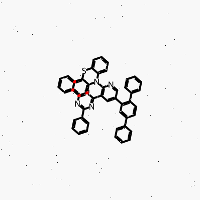 c1ccc(-c2ccc(-c3ccccc3)c(-c3cnc(N4c5ccccc5Sc5ccccc54)c(-c4nc(-c5ccccc5)nc(-c5ccccc5)n4)c3)c2)cc1